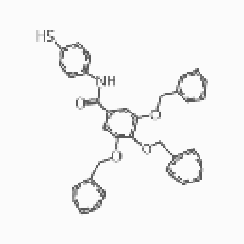 O=C(Nc1ccc(S)cc1)c1cc(OCc2ccccc2)c(OCc2ccccc2)c(OCc2ccccc2)c1